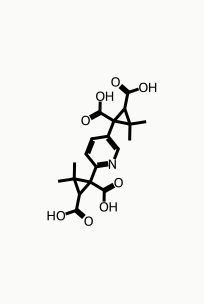 CC1(C)C(C(=O)O)C1(C(=O)O)c1ccc(C2(C(=O)O)C(C(=O)O)C2(C)C)nc1